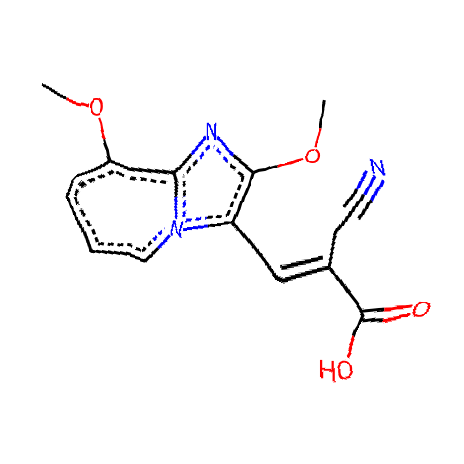 COc1nc2c(OC)cccn2c1/C=C(\C#N)C(=O)O